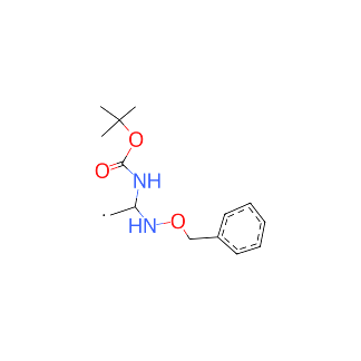 [CH2]C(NOCc1ccccc1)NC(=O)OC(C)(C)C